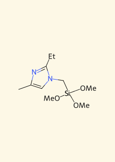 CCc1nc(C)cn1C[Si](OC)(OC)OC